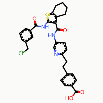 O=C(O)c1ccc(CCc2ccc(NC(=O)c3c(NC(=O)c4cccc(CCl)c4)sc4c3CCCC4)cn2)cc1